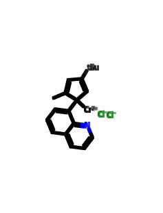 CC1=CC(C(C)(C)C)=C[C]1([Cr+2])c1cccc2cccnc12.[Cl-].[Cl-]